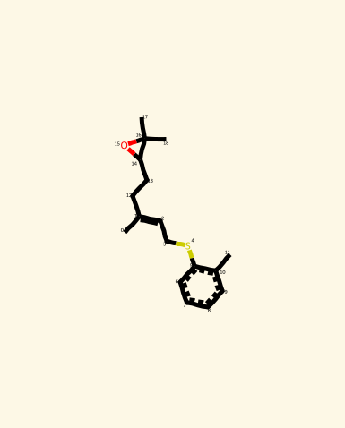 C/C(=C\CSc1ccccc1C)CCC1OC1(C)C